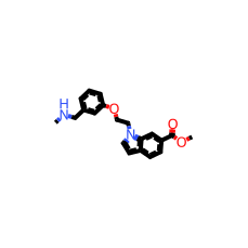 CNCc1cccc(OCCn2ccc3ccc(C(=O)OC)cc32)c1